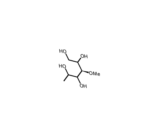 CO[C@H](C(O)CO)C(O)C(C)O